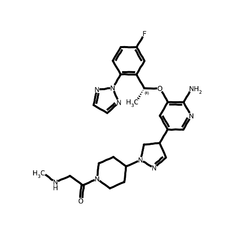 CNCC(=O)N1CCC(N2CC(c3cnc(N)c(O[C@H](C)c4cc(F)ccc4-n4nccn4)c3)C=N2)CC1